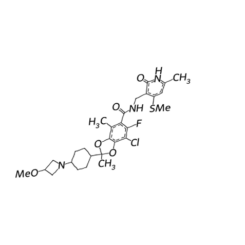 COC1CN(C2CCC(C3(C)Oc4c(C)c(C(=O)NCc5c(SC)cc(C)[nH]c5=O)c(F)c(Cl)c4O3)CC2)C1